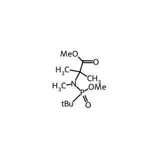 COC(=O)C(C)(C)N(C)P(=O)(OC)C(C)(C)C